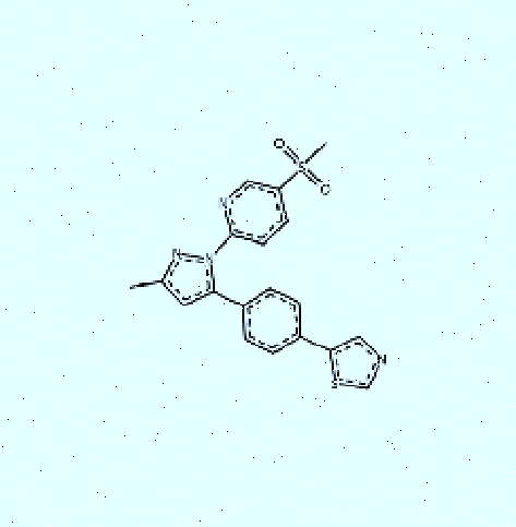 Cc1cc(-c2ccc(-c3cncs3)cc2)n(-c2ccc(S(C)(=O)=O)cn2)n1